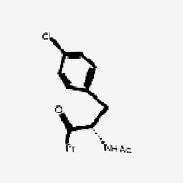 CC(=O)N[C@@H](Cc1ccc(Cl)cc1)C(=O)C(C)C